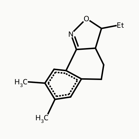 CCC1ON=C2c3cc(C)c(C)cc3CCC21